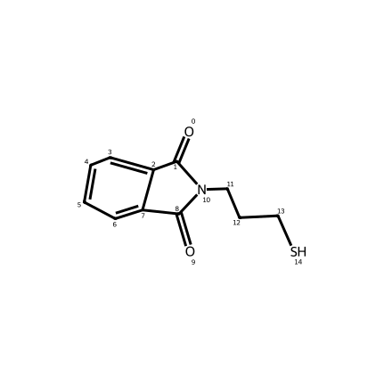 O=C1c2ccccc2C(=O)N1CCCS